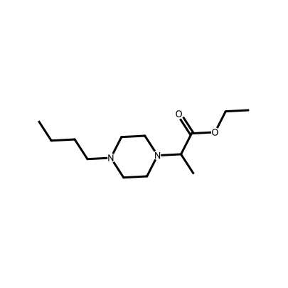 CCCCN1CCN(C(C)C(=O)OCC)CC1